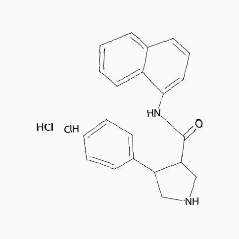 Cl.Cl.O=C(Nc1cccc2ccccc12)C1CNCC1c1ccccc1